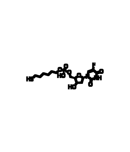 O=c1[nH]c(=O)n([C@H]2CC(O)[C@@H](COP(=O)(O)OCCCCCCS)O2)cc1F